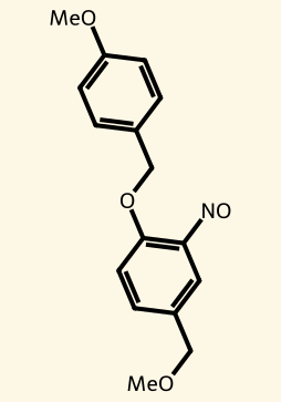 COCc1ccc(OCc2ccc(OC)cc2)c(N=O)c1